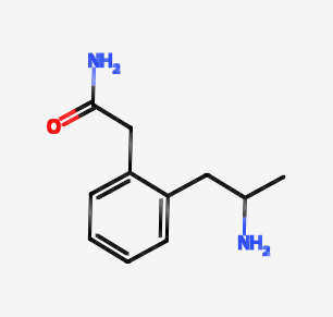 CC(N)Cc1ccccc1CC(N)=O